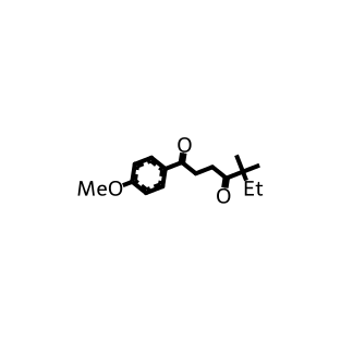 CCC(C)(C)C(=O)CCC(=O)c1ccc(OC)cc1